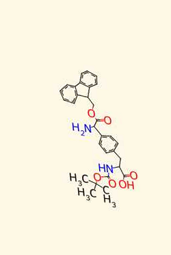 CC(C)(C)OC(=O)NC(Cc1ccc(C(N)C(=O)OCC2c3ccccc3-c3ccccc32)cc1)C(=O)O